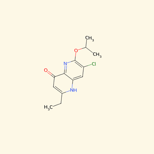 CCc1cc(=O)c2nc(OC(C)C)c(Cl)cc2[nH]1